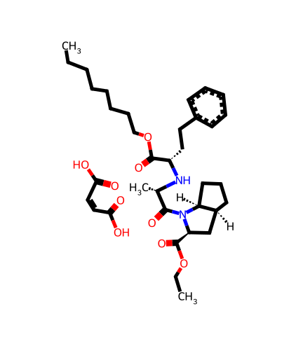 CCCCCCCCOC(=O)[C@H](CCc1ccccc1)N[C@@H](C)C(=O)N1[C@H](C(=O)OCC)C[C@@H]2CCC[C@@H]21.O=C(O)/C=C\C(=O)O